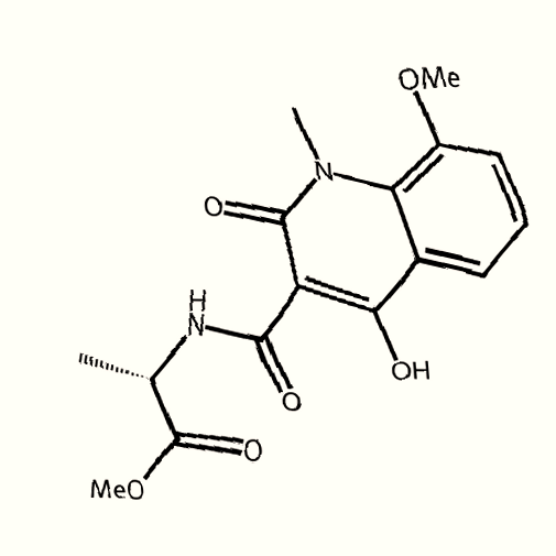 COC(=O)[C@H](C)NC(=O)c1c(O)c2cccc(OC)c2n(C)c1=O